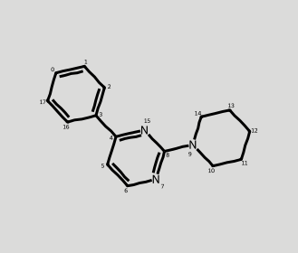 c1ccc(-c2ccnc(N3CCCCC3)n2)cc1